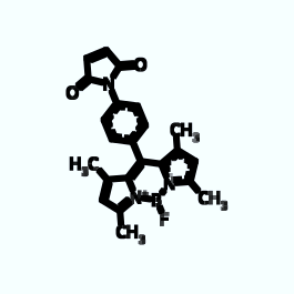 CC1=CC(C)=[N+]2B(F)n3c(C)cc(C)c3C(c3ccc(N4C(=O)C=CC4=O)cc3)=C12